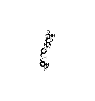 Cn1cnc2cc(CNCC3CCN(c4nccc(/C=C5/SC(=O)NC5=O)n4)CC3)ccc21